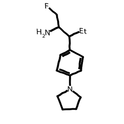 CCC(c1ccc(N2CCCC2)cc1)C(N)CF